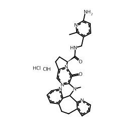 Cc1nc(N)ccc1CNC(=O)[C@@H]1CCc2cnc(N(C)C3c4ncccc4CCc4cccnc43)c(=O)n21.Cl.Cl